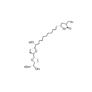 CCCCCCCCCC[C@@H](O)[C@H]1CC[C@@H]([C@H]2CC[C@H]([C@H](O)CCCCCCCCCC[C@@H]3CC(CC(C)=O)C(=O)O3)O2)O1